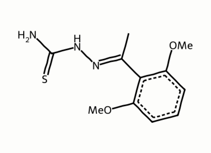 COc1cccc(OC)c1C(C)=NNC(N)=S